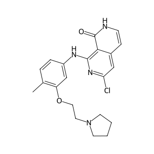 Cc1ccc(Nc2nc(Cl)cc3cc[nH]c(=O)c23)cc1OCCN1CCCC1